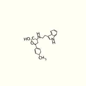 CC1C=CC(C(=O)CC(NCCc2c[nH]c3ccccc23)C(=O)O)=CC1